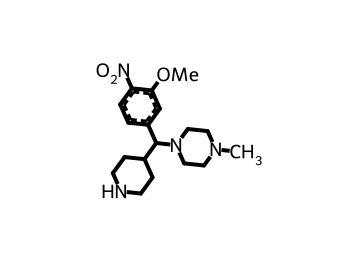 COc1cc(C(C2CCNCC2)N2CCN(C)CC2)ccc1[N+](=O)[O-]